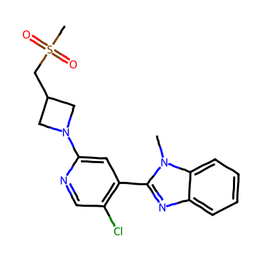 Cn1c(-c2cc(N3CC(CS(C)(=O)=O)C3)ncc2Cl)nc2ccccc21